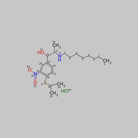 CCCCCCCCNC(C)C(O)c1ccc(SC(C)C)c([N+](=O)[O-])c1.Cl